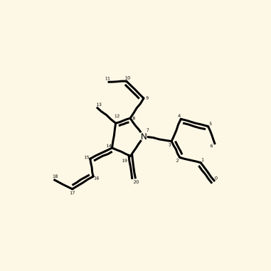 C=C/C=C(\C=C/C)n1c(/C=C\C)c(C)/c(=C/C=C\C)c1=C